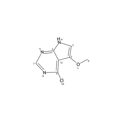 COc1c[nH]c2ncnc(Cl)c12